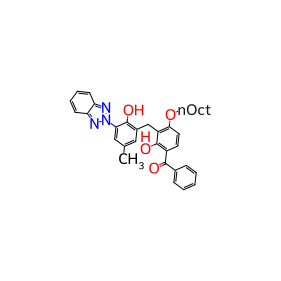 CCCCCCCCOc1ccc(C(=O)c2ccccc2)c(O)c1Cc1cc(C)cc(-n2nc3ccccc3n2)c1O